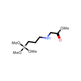 COC(=O)CNCCC[Si](OC)(OC)OC